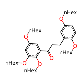 CCCCCCOc1ccc(OCCCCCC)c(CCC(=O)c2cc(OCCCCCC)cc(OCCCCCC)c2OCCCCCC)c1